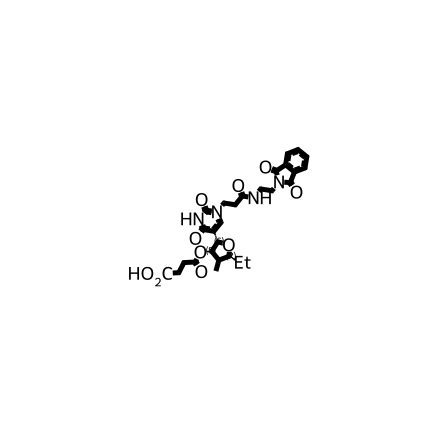 CC[C@H]1O[C@@H](c2cn(CCC(=O)NCCN3C(=O)c4ccccc4C3=O)c(=O)[nH]c2=O)[C@@H](OC(=O)CCC(=O)O)C1C